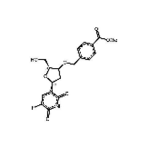 COC(=O)c1ccc(COC2C[C@@H](n3cc(F)c(=O)[nH]c3=O)O[C@H]2CO)cc1